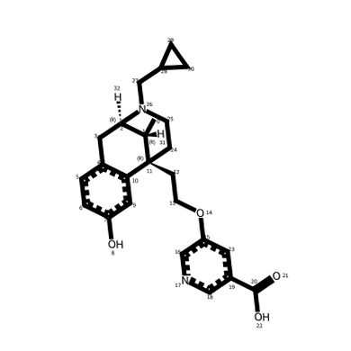 C[C@H]1[C@H]2Cc3ccc(O)cc3[C@@]1(CCOc1cncc(C(=O)O)c1)CCN2CC1CC1